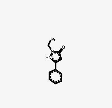 CC(C)Cn1[nH]c(-c2ccccc2)cc1=O